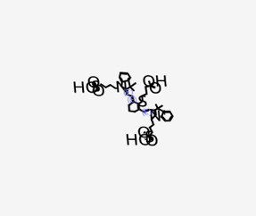 CC1(C)C(/C=C/C2=C(SCCCC(=O)O)C(=C/C=C3/N(CCCCS(=O)(=O)O)c4ccccc4C3(C)C)/CCC2)=[N+](CCCCS(=O)(=O)O)c2ccccc21